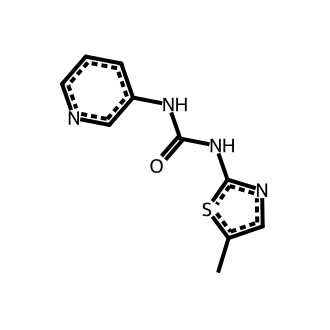 Cc1cnc(NC(=O)Nc2cccnc2)s1